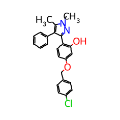 Cc1c(-c2ccccc2)c(-c2ccc(OCc3ccc(Cl)cc3)cc2O)nn1C